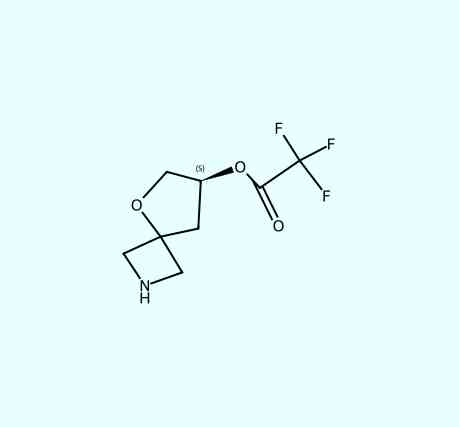 O=C(O[C@@H]1COC2(CNC2)C1)C(F)(F)F